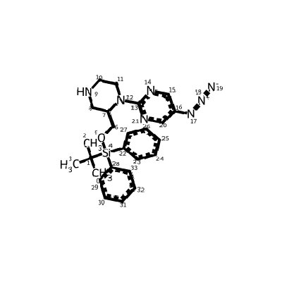 CC(C)(C)[Si](OCC1CNCCN1c1ncc(N=[N+]=[N-])cn1)(c1ccccc1)c1ccccc1